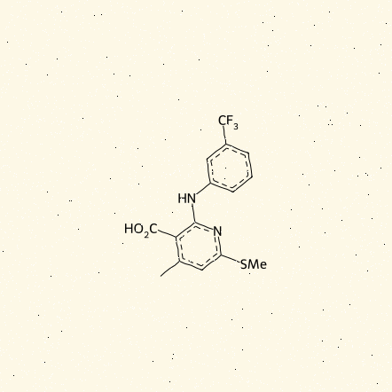 CSc1cc(C)c(C(=O)O)c(Nc2cccc(C(F)(F)F)c2)n1